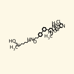 CCn1nc(-c2cccc(-c3ccc(CCC(=O)NCCCCCCCN(C)CCO)cc3)c2)cc(NC(=O)Nc2c(Cl)cncc2Cl)c1=O